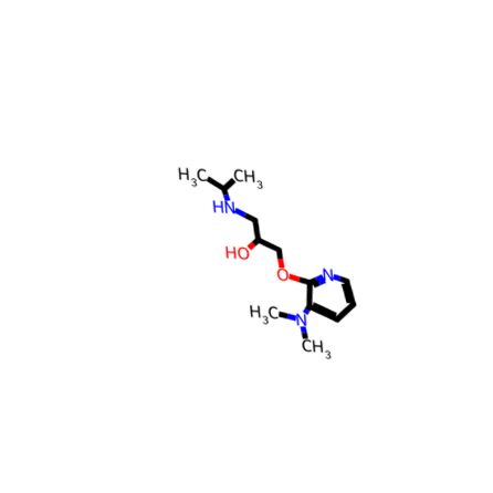 CC(C)NCC(O)COc1ncccc1N(C)C